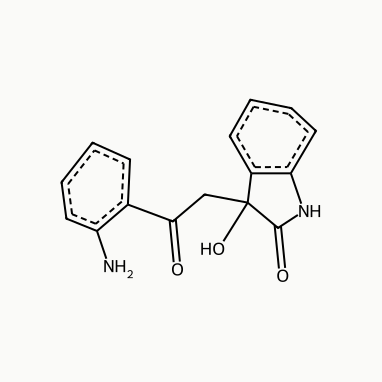 Nc1ccccc1C(=O)CC1(O)C(=O)Nc2ccccc21